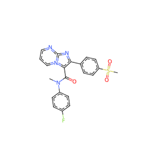 CN(C(=O)c1c(-c2ccc(S(C)(=O)=O)cc2)nc2ncccn12)c1ccc(F)cc1